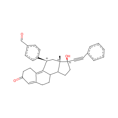 C[C@]12C[C@H](c3ccc(C=O)cc3)C3=C4CCC(=O)C=C4CCC3C1CC[C@@]2(O)C#Cc1ccccc1